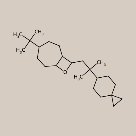 CC(C)(C)C1CCC2OC(CC(C)(C)C3CCC4(CC3)CC4)C2CC1